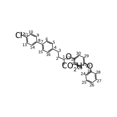 O=C(O)C(CCc1ccc(-c2ccc(Cl)cc2)cc1)Oc1ccc(Oc2ccccc2)cc1